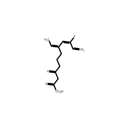 C=C/C(F)=C\C(=C/C)CCCC(=O)CC(=O)C(=O)OCC